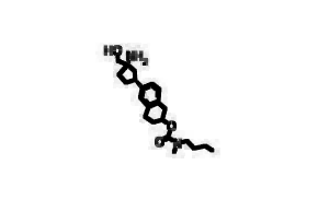 CCCCN(C)C(=O)OC1CCc2cc([C@H]3CC[C@](N)(CO)C3)ccc2C1